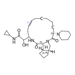 O=C(NC1CC1)C(O)C1C/C=C\CCCCC[C@H](N2CCCCC2)C(=O)N2C[C@@H]3CCC[C@@H]3[C@H]2C(=O)N1